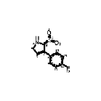 O=S(=O)=C1NCC=C1c1ccc(F)cc1